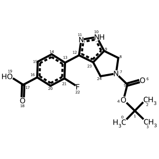 CC(C)(C)OC(=O)N1Cc2[nH]nc(-c3ccc(C(=O)O)cc3F)c2C1